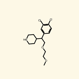 COCCOCC(c1ccc(Cl)c(Cl)c1)C1CCNCC1